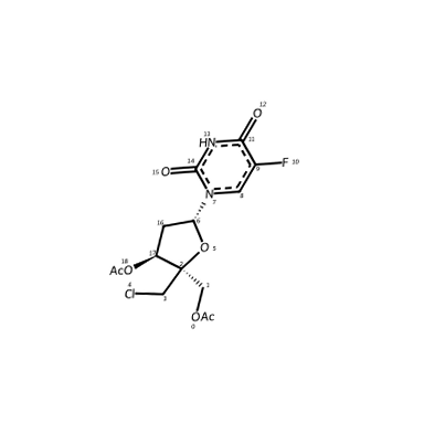 CC(=O)OC[C@@]1(CCl)O[C@@H](n2cc(F)c(=O)[nH]c2=O)C[C@@H]1OC(C)=O